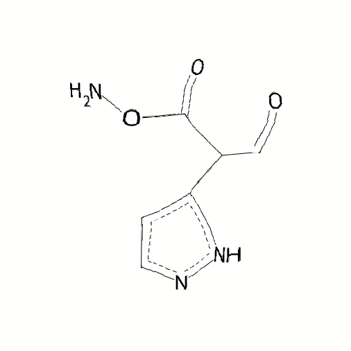 NOC(=O)C(C=O)c1ccn[nH]1